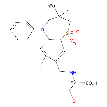 CCCCC1(C)CN(c2ccccc2)c2cc(C)c(CN[C@@H](CO)C(=O)O)cc2S(=O)(=O)C1